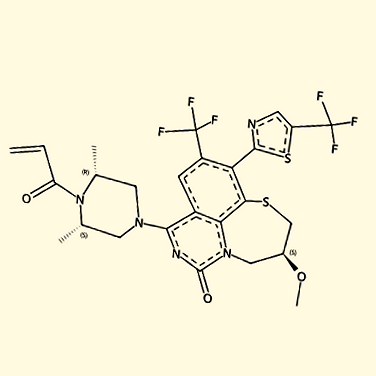 C=CC(=O)N1[C@H](C)CN(c2nc(=O)n3c4c(c(-c5ncc(C(F)(F)F)s5)c(C(F)(F)F)cc24)SC[C@@H](OC)C3)C[C@@H]1C